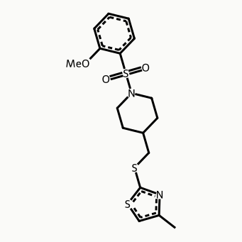 COc1ccccc1S(=O)(=O)N1CCC(CSc2nc(C)cs2)CC1